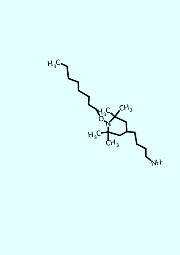 CCCCCCCCON1C(C)(C)CC(CCCC[NH])CC1(C)C